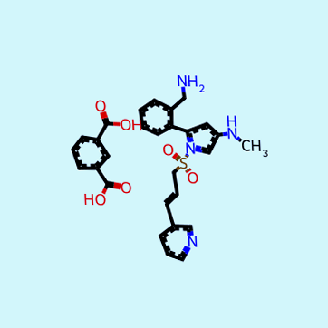 CNc1cc(-c2ccccc2CN)n(S(=O)(=O)CC=Cc2cccnc2)c1.O=C(O)c1cccc(C(=O)O)c1